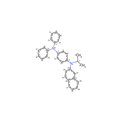 CC(C)N(c1ccc(N(c2ccccc2)c2ccccc2)cc1)c1ccc2ccccc2c1